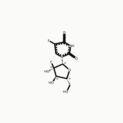 O=c1[nH]c(=O)n([C@@H]2O[C@H](CO)[C@@H](O)[C@@]2(O)F)cc1F